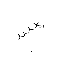 CC(C)(C)O.CC(C)[CH2][Al][CH2]C(C)C